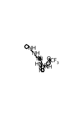 O=C(N1CCC(Nc2nc(NCc3cn(CCCNCCCNC4CCCCC4)nn3)nc3ncccc23)CC1)C(F)(F)F